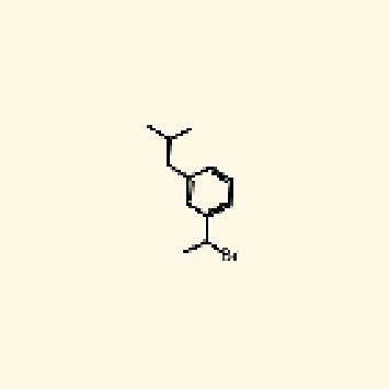 CC(C)Cc1cccc(C(C)Br)c1